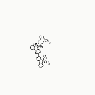 CCCCNC1(NCCCC)c2ccccc2-c2nc(-c3ccc4c(c3)C(C)(C)c3ccccc3-4)ccc21